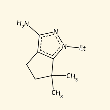 CCn1nc(N)c2c1C(C)(C)CC2